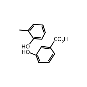 Cc1ccccc1O.O=C(O)c1cccc(O)c1